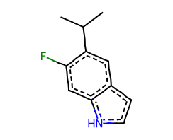 CC(C)c1cc2cc[nH]c2cc1F